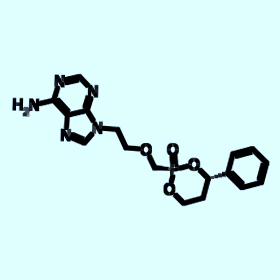 Nc1ncnc2c1ncn2CCOC[P@]1(=O)OCC[C@@H](c2ccccc2)O1